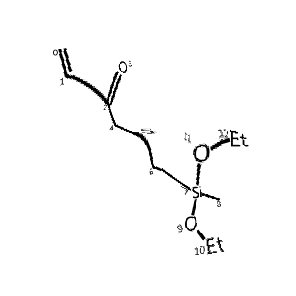 C=CC(=O)CCC[Si](C)(OCC)OCC